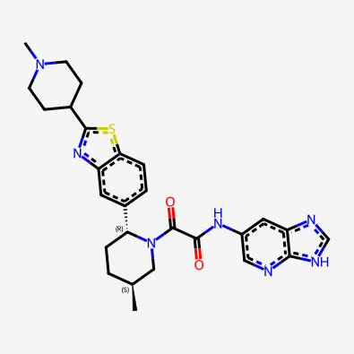 C[C@H]1CC[C@H](c2ccc3sc(C4CCN(C)CC4)nc3c2)N(C(=O)C(=O)Nc2cnc3[nH]cnc3c2)C1